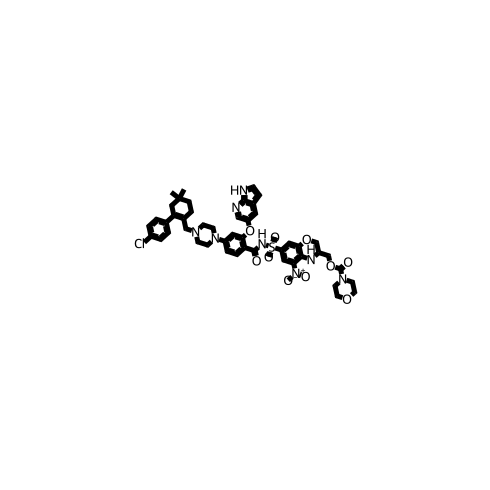 CC1(C)CCC(CN2CCN(c3ccc(C(=O)NS(=O)(=O)c4cc5c(c([N+](=O)[O-])c4)NC(COC(=O)N4CCOCC4)CO5)c(Oc4cnc5[nH]ccc5c4)c3)CC2)=C(c2ccc(Cl)cc2)C1